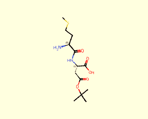 CSCC[C@H](N)C(=O)N[C@@H](CC(=O)OC(C)(C)C)C(=O)O